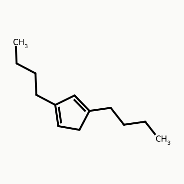 CCCCC1=CCC(CCCC)=C1